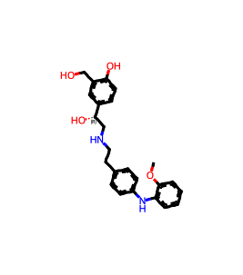 COc1ccccc1Nc1ccc(CCNC[C@H](O)c2ccc(O)c(CO)c2)cc1